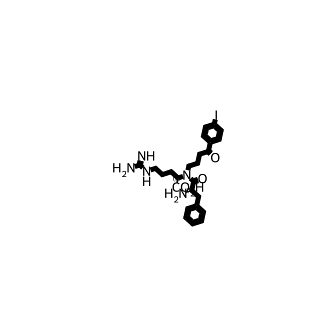 N=C(N)NCCC[C@@H](C(=O)O)N(CCCC(=O)c1ccc(I)cc1)C(=O)[C@@H](N)Cc1ccccc1